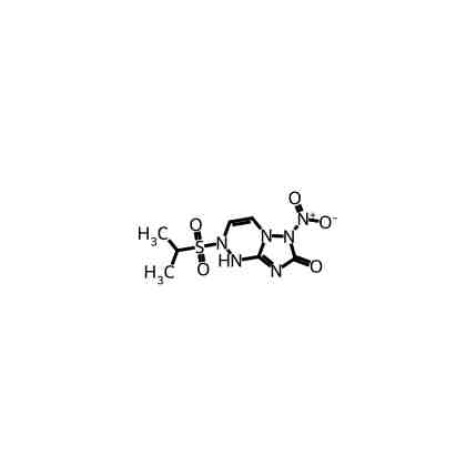 CC(C)S(=O)(=O)N1C=Cn2c(nc(=O)n2[N+](=O)[O-])N1